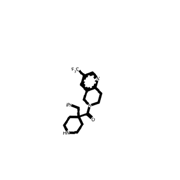 CC(C)CC1(C(=O)N2CCc3ncc(C(F)(F)F)cc3C2)CCNCC1